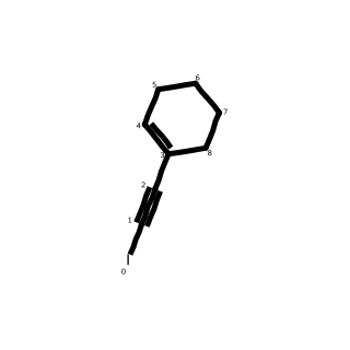 IC#CC1=CCCCC1